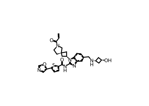 C=CC(=O)N1CC[C@]2(C1)C[C@H](n1c(NC(=O)c3ccc(-c4cnco4)s3)nc3cc(CN[C@H]4C[C@H](O)C4)ccc31)C2